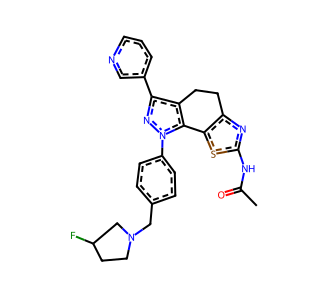 CC(=O)Nc1nc2c(s1)-c1c(c(-c3cccnc3)nn1-c1ccc(CN3CCC(F)C3)cc1)CC2